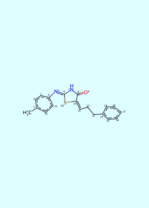 Cc1ccc(/N=C2/NC(=O)/C(=C\CCc3ccccc3)S2)cc1